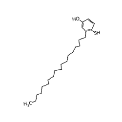 CCCCCCCCCCCCCCCCCCc1cc(O)ccc1S